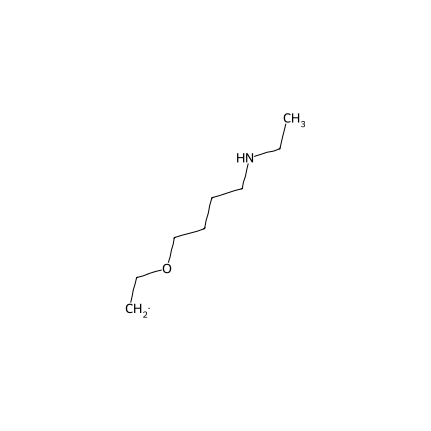 [CH2]COCCCCNCC